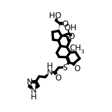 C[C@]12CCC(=O)C(SCC(=O)NCCc3c[nH]cn3)=C1CCC1C3CC[C@H](C(=O)CO)[C@@]34CC(O[C@@H]4O)C12